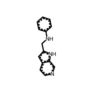 c1ccc(NCc2cc3ccncc3[nH]2)cc1